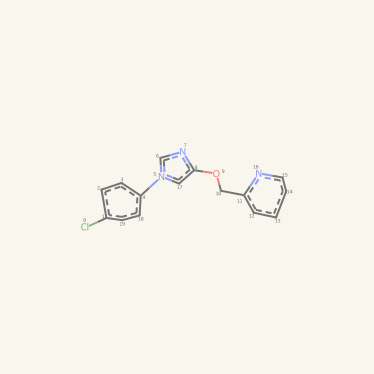 Clc1ccc(-n2cnc(OCc3ccccn3)c2)cc1